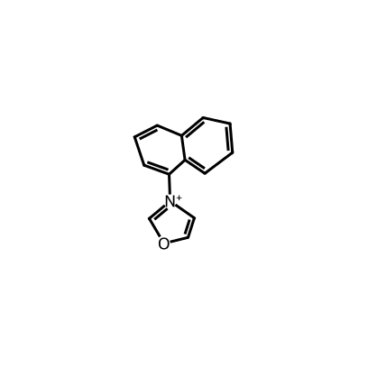 c1ccc2c(-[n+]3ccoc3)cccc2c1